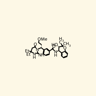 CCC1(CC)CC(=O)N([C@H](CCOC)c2cccc(C(=O)N[C@@H]3c4ccccc4OC(C)(C)[C@H]3O)c2)C(=N)N1